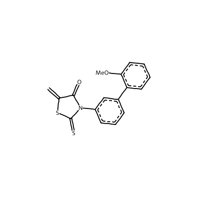 C=C1SC(=S)N(c2cccc(-c3ccccc3OC)c2)C1=O